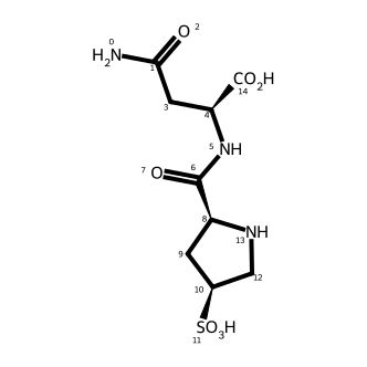 NC(=O)C[C@H](NC(=O)[C@@H]1C[C@H](S(=O)(=O)O)CN1)C(=O)O